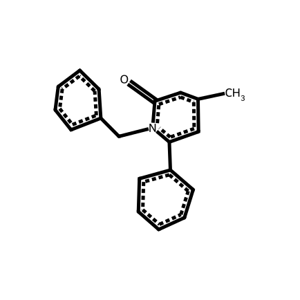 Cc1cc(-c2ccccc2)n(Cc2ccccc2)c(=O)c1